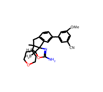 BC1(B)OC(N)=NC12c1cc(-c3cc(C#N)cc(OC)c3)ccc1CC2(C)C1CCOCC1